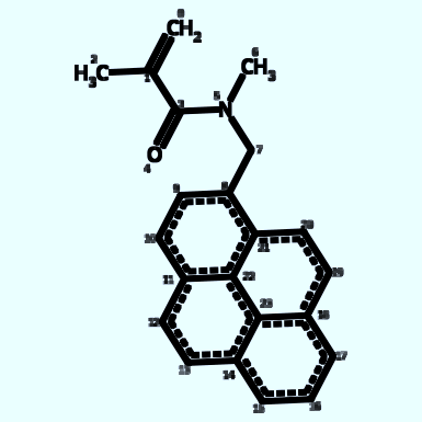 C=C(C)C(=O)N(C)Cc1ccc2ccc3cccc4ccc1c2c34